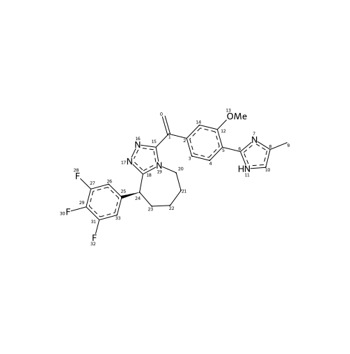 C=C(c1ccc(-c2nc(C)c[nH]2)c(OC)c1)c1nnc2n1CCCC[C@H]2c1cc(F)c(F)c(F)c1